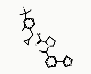 O=C(N[C@@H](c1ccc(C(F)(F)F)cc1F)C1CC1)[C@H]1CCCN1C(=O)c1cccc(-c2ccsc2)c1